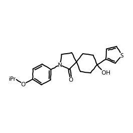 CC(C)Oc1ccc(N2CCC3(CCC(O)(c4ccsc4)CC3)C2=O)cc1